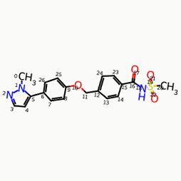 Cn1nccc1-c1ccc(OCc2ccc(C(=O)NS(C)(=O)=O)cc2)cc1